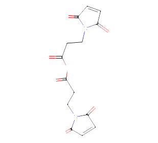 O=C(CCN1C(=O)C=CC1=O)OC(=O)CCN1C(=O)C=CC1=O